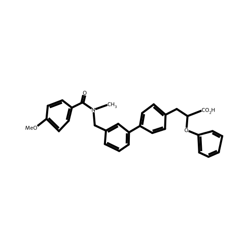 COc1ccc(C(=O)N(C)Cc2cccc(-c3ccc(CC(Oc4ccccc4)C(=O)O)cc3)c2)cc1